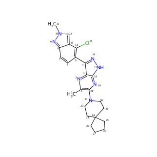 Cc1nc2c(-c3ccc4nn(C)cc4c3Cl)n[nH]c2nc1N1CCC2(CCCC2)CC1